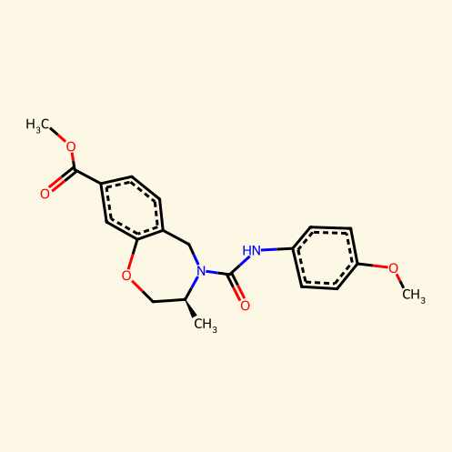 COC(=O)c1ccc2c(c1)OC[C@H](C)N(C(=O)Nc1ccc(OC)cc1)C2